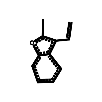 C=Cc1c(C)oc2ccccc12